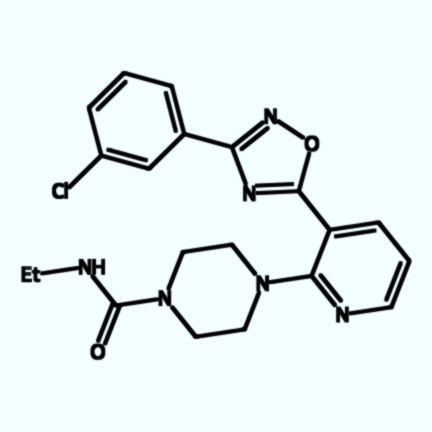 CCNC(=O)N1CCN(c2ncccc2-c2nc(-c3cccc(Cl)c3)no2)CC1